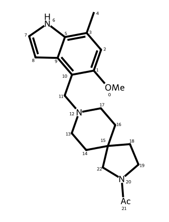 COc1cc(C)c2[nH]ccc2c1CN1CCC2(CC1)CCN(C(C)=O)C2